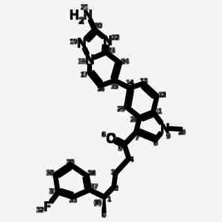 C[C@H](CCCC(=O)c1cn(C)c2ccc(-c3ccn4nc(N)nc4c3)cc12)c1cccc(F)c1